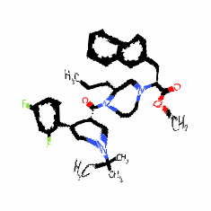 CCC[C@H]1CN([C@@H](Cc2ccc3ccccc3c2)C(=O)OC)CCN1C(=O)[C@@H]1CN(C(C)(C)C)C[C@H]1c1ccc(F)cc1F